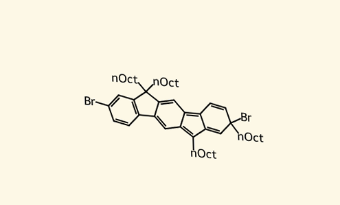 CCCCCCCCC1=c2cc3c(cc2=C2C=CC(Br)(CCCCCCCC)C=C21)C(CCCCCCCC)(CCCCCCCC)c1cc(Br)ccc1-3